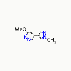 COc1cc(-c2cnn(C)c2)cnn1